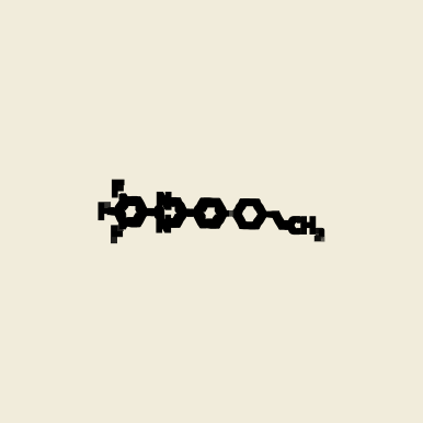 C=CC[C@H]1CC[C@H](c2ccc(-c3cnc(-c4cc(F)c(F)c(F)c4)nc3)cc2)CC1